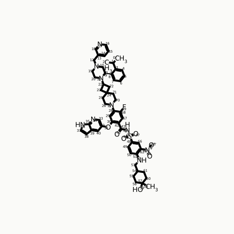 CC(C)c1ccccc1[C@@H]1CN(Cc2cccnc2)CCN1C1CC2(CCN(c3cc(Oc4cnc5[nH]ccc5c4)c(C(=O)NS(=O)(=O)c4ccc(NCC5CCC(C)(O)CC5)c([N+](=O)[O-])c4)cc3F)CC2)C1